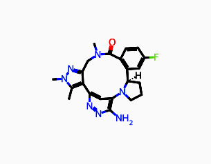 Cc1c2c(nn1C)CN(C)C(=O)c1ccc(F)cc1[C@H]1CCCN1c1cc-2nnc1N